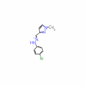 Cn1ccc(/C=N/Nc2ccc(Br)cc2)n1